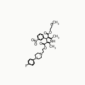 COCCOC(=O)C1=C(C)NC(C)=C(C(=O)OCCN2CCN(c3ccc(F)cc3)CC2)C1c1cccc([N+](=O)[O-])c1